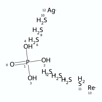 O=P(O)(O)O.S.S.S.S.S.S.S.[Ag].[Re]